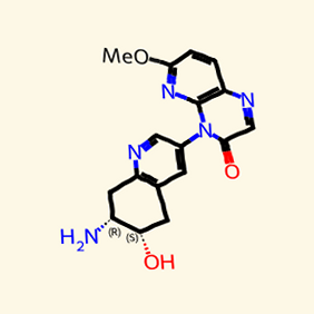 COc1ccc2ncc(=O)n(-c3cnc4c(c3)C[C@H](O)[C@H](N)C4)c2n1